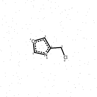 Cl[CH]c1cocn1